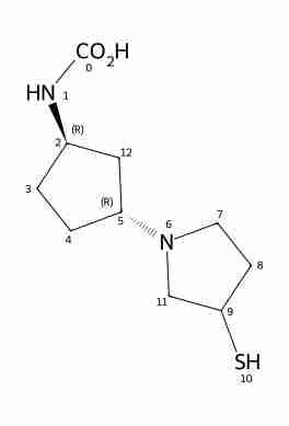 O=C(O)N[C@@H]1CC[C@@H](N2CCC(S)C2)C1